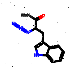 CNC(=O)C(Cc1c[nH]c2ccccc12)N=[N+]=[N-]